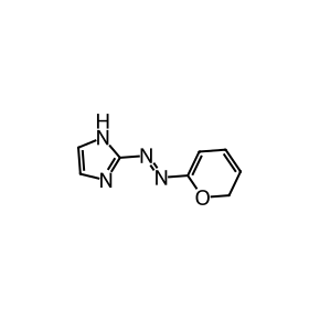 C1=CCOC(N=Nc2ncc[nH]2)=C1